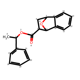 CC(OC(=O)C1CC2OC1c1ccccc12)c1ccccc1